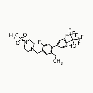 CCc1cc(CN2CCN(S(C)(=O)=O)CC2)c(F)cc1-c1ccc(C(O)(C(F)(F)F)C(F)(F)F)cc1